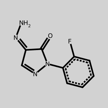 NN=C1C=NN(c2ccccc2F)C1=O